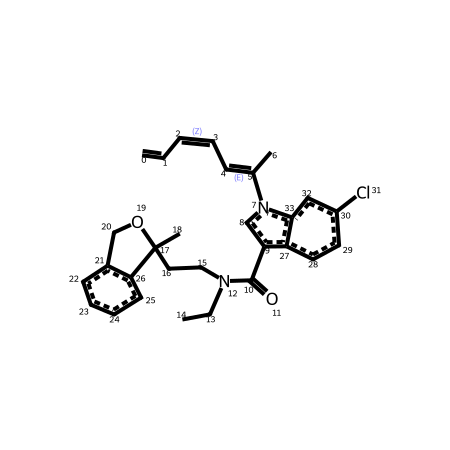 C=C/C=C\C=C(/C)n1cc(C(=O)N(CC)CCC2(C)OCc3ccccc32)c2ccc(Cl)cc21